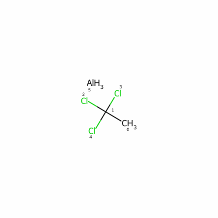 CC(Cl)(Cl)Cl.[AlH3]